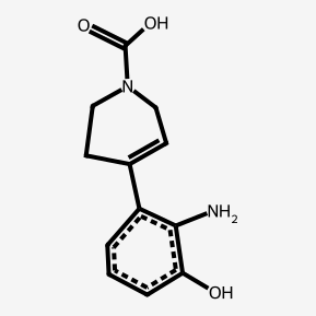 Nc1c(O)cccc1C1=CCN(C(=O)O)CC1